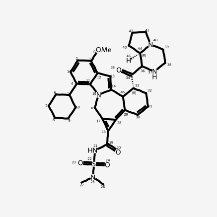 COc1ccc(C2CCCCC2)c2c1cc1n2CC2=C(C(=O)NS(=O)(=O)N(C)C)C2=C2C=CC[C@@H](C(=O)C3NCCN4CCC[C@H]34)C21